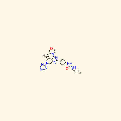 CCNC(=O)Nc1ccc(-c2nc3c(c(N4CCOCC4C)n2)CCN(c2ncncn2)C3)cc1